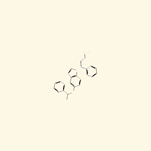 CNC[C@@H](O)[C@H](c1ccccc1)n1ccc2cc(OC(C)c3ccccc3)ccc21.Cl